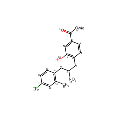 COC(=O)c1ccc(CC(Cc2ccc(Cl)cc2C(F)(F)F)[N+](=O)[O-])c(O)c1